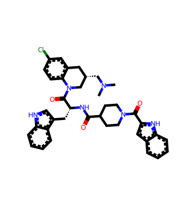 CN(C)C[C@H]1Cc2cc(Cl)ccc2N(C(=O)[C@@H](Cc2c[nH]c3ccccc23)NC(=O)C2CCN(C(=O)c3cc4ccccc4[nH]3)CC2)C1